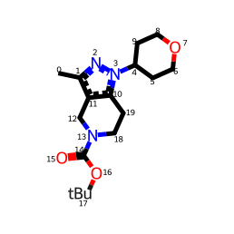 Cc1nn(C2CCOCC2)c2c1CN(C(=O)OC(C)(C)C)CC2